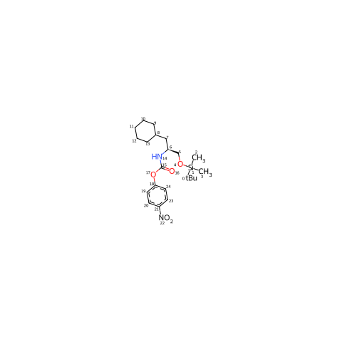 CC(C)(C)[Si](C)(C)OC[C@H](CC1CCCCC1)NC(=O)Oc1ccc([N+](=O)[O-])cc1